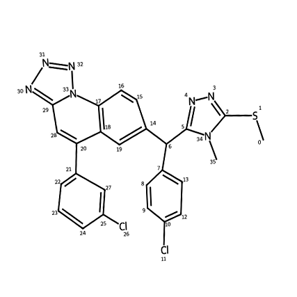 CSc1nnc(C(c2ccc(Cl)cc2)c2ccc3c(c2)c(-c2cccc(Cl)c2)cc2nnnn23)n1C